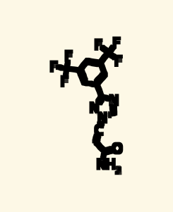 NC(=O)C=C=[N+]1C=NC(c2cc(C(F)(F)F)cc(C(F)(F)F)c2)=N1